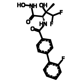 C[C@@](O)(C(F)F)[C@H](NC(=O)c1ccc(-c2ccccc2F)cc1)C(=O)NO